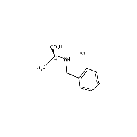 C[C@H](NCc1ccccc1)C(=O)O.Cl